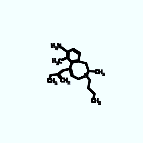 C=C(CC)CC1=CCN(CCCC)C(C)Cc2ccc(N)c(C)c21